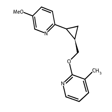 COc1ccc(C2C[C@H]2COc2ncccc2C)nc1